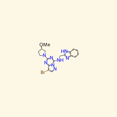 CO[C@@H]1CCN(c2nc(NCc3nc4ccccc4[nH]3)n3ncc(Br)c3n2)C1